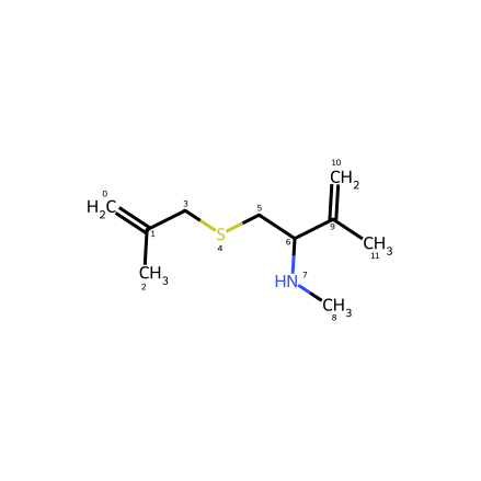 C=C(C)CSCC(NC)C(=C)C